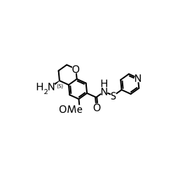 COc1cc2c(cc1C(=O)NSc1ccncc1)OCC[C@@H]2N